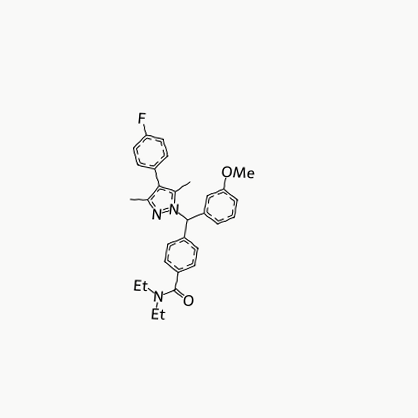 CCN(CC)C(=O)c1ccc(C(c2cccc(OC)c2)n2nc(C)c(-c3ccc(F)cc3)c2C)cc1